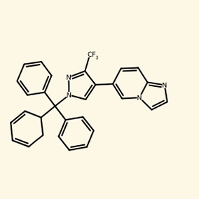 FC(F)(F)c1nn(C(c2ccccc2)(c2ccccc2)C2C=CC=CC2)cc1-c1ccc2nccn2c1